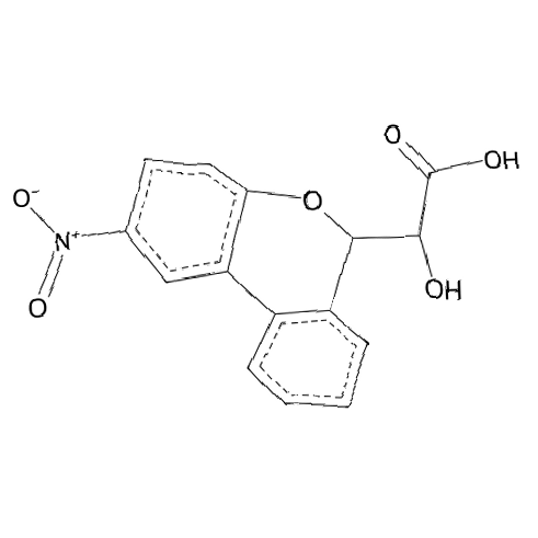 O=C(O)C(O)C1Oc2ccc([N+](=O)[O-])cc2-c2ccccc21